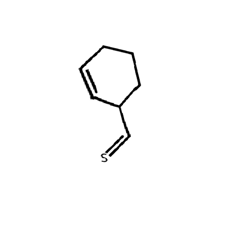 S=CC1C=CCCC1